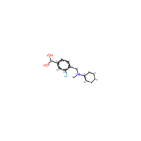 CN(Cc1ccc(B(O)O)cc1F)C1CCCCC1